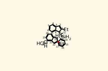 CCC1=Cc2ccccc2[CH]1[Hf]([CH3])(=[SiH2])([c]1ccccc1)[CH]1C(CC)=Cc2ccccc21.Cl.Cl